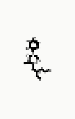 CCCC(CC)CCC(C)CP(CF)c1ccccc1